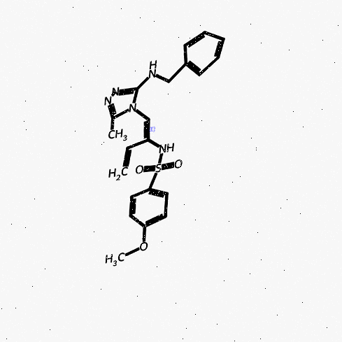 C=C/C(=C\n1c(C)nnc1NCc1ccccc1)NS(=O)(=O)c1ccc(OC)cc1